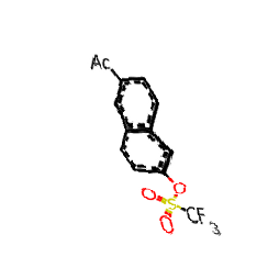 CC(=O)c1ccc2cc(OS(=O)(=O)C(F)(F)F)ccc2c1